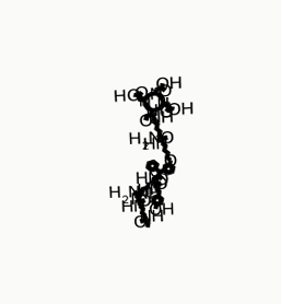 CCC(=O)NCCNC(=O)/N=C(/N)NCCC[C@@H](NC(=O)C(c1ccccc1)c1cccc(OCCCCNC(=O)[C@H](N)CCCCNC(C=O)N2CCN(CC(=O)O)CCN(CC(=O)O)CCN(CC(=O)O)CC2)c1)C(=O)NCc1ccc(O)cc1